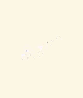 O=C(c1c(F)ccc(NS(=O)(=O)c2ccc(-c3ccco3)cc2)c1F)c1c[nH]c2ncccc12